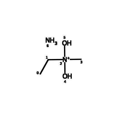 CC[N+](C)(O)O.N